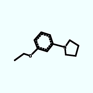 CCOc1cccc(N2CCCC2)c1